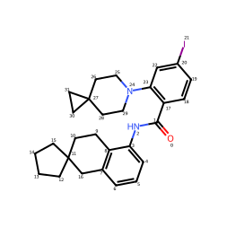 O=C(Nc1cccc2c1CCC1(CCCC1)C2)c1ccc(I)cc1N1CCC2(CC1)CC2